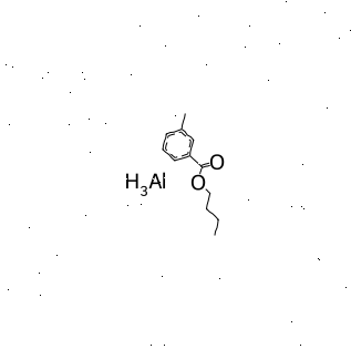 CCCCOC(=O)c1cccc(C)c1.[AlH3]